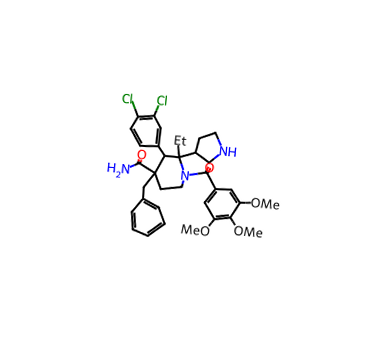 CCC1(C2CCNC2)C(c2ccc(Cl)c(Cl)c2)C(Cc2ccccc2)(C(N)=O)CCN1C(=O)c1cc(OC)c(OC)c(OC)c1